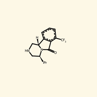 CC(C)[C@H]1CNC[C@@H]2c3cccc(C(F)(F)F)c3C(=O)N21